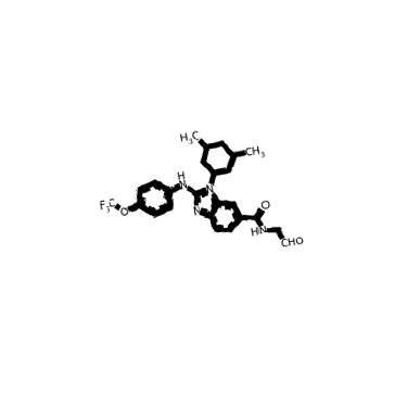 CC1CC(C)CC(n2c(Nc3ccc(OC(F)(F)F)cc3)nc3ccc(C(=O)NCC=O)cc32)C1